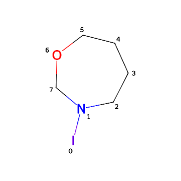 IN1CCCCOC1